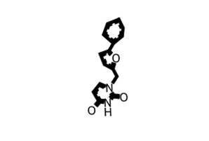 O=c1ccn(Cc2ccc(-c3ccccc3)o2)c(=O)[nH]1